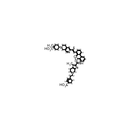 Cn1c(C(=O)Nc2cccc(-c3cccc(/C=C(\F)c4cc5c(cn4)CN([C@H]4CC[C@](C)(C(=O)O)CC4)CC5)c3Cl)c2Cl)nc2c1CCN(CCC13CCC(C(=O)O)(CC1)C3)C2